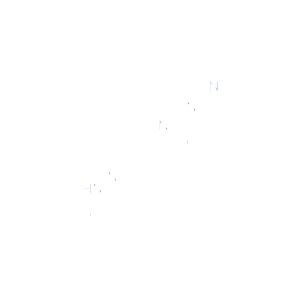 CC1CC(=O)NN=C1c1ccc2oc(-n3ccnc3)nc2c1